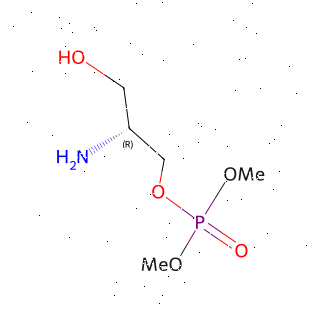 COP(=O)(OC)OC[C@H](N)CO